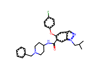 CC(C)Cn1ncc2cc(Oc3ccc(F)cc3)c(C(=O)NC3CCN(Cc4ccccc4)CC3)cc21